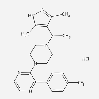 Cc1n[nH]c(C)c1C(C)N1CCN(c2nccnc2-c2ccc(C(F)(F)F)cc2)CC1.Cl